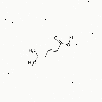 CCOC(=O)C=CC=C(C)C